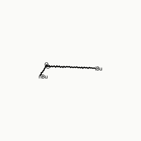 CCCCC=CCCCCCCCC(=O)OCCCCCCCCCCCCCCCCCCCCCCCCCCCCCCCCCCCCCC(C)CC